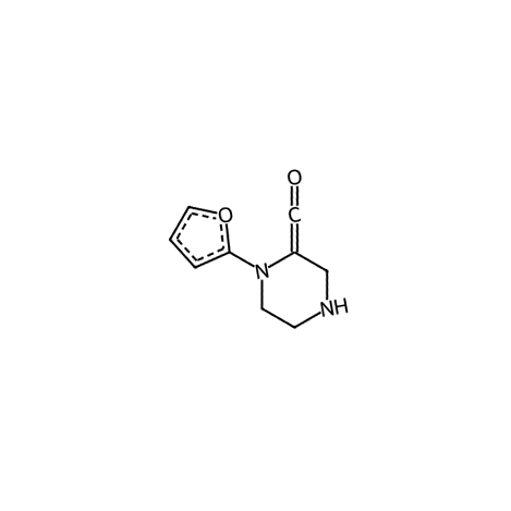 O=C=C1CNCCN1c1ccco1